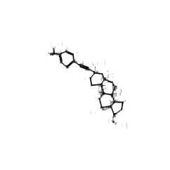 CO[C@H]1CC[C@H]2[C@@H]3CC[C@@H]4C[C@@](O)(C#Cc5ccc(C(C)=O)cc5)CC[C@]4(C)[C@H]3CC[C@]12C